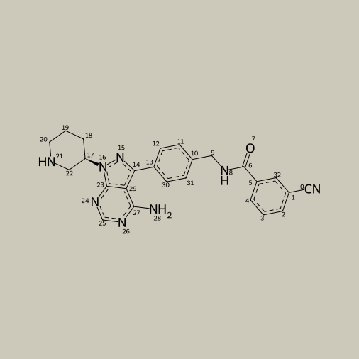 N#Cc1cccc(C(=O)NCc2ccc(-c3nn([C@@H]4CCCNC4)c4ncnc(N)c34)cc2)c1